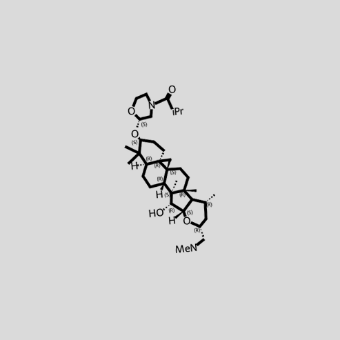 CNC[C@H]1C[C@@H](C)C2[C@H](O1)[C@H](O)[C@@]1(C)[C@@H]3CC[C@H]4C(C)(C)[C@@H](O[C@H]5CN(C(=O)C(C)C)CCO5)CC[C@@]45C[C@@]35CC[C@]21C